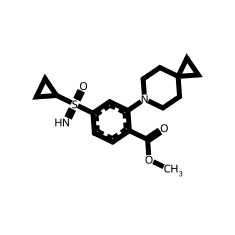 COC(=O)c1ccc(S(=N)(=O)C2CC2)cc1N1CCC2(CC1)CC2